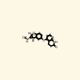 O=C1CCc2c(Oc3ccc4c(c3)[C@H]3[C@H](NCl)[C@H]3O4)ccnc2N1